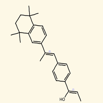 C/C=C(\O)c1ccc(/C=C(\C)c2ccc3c(c2)C(C)(C)CCC3(C)C)cc1